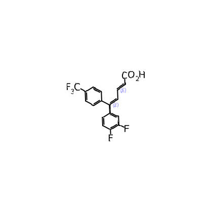 O=C(O)/C=C/C=C(\c1ccc(C(F)(F)F)cc1)c1ccc(F)c(F)c1